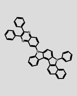 c1ccc(-c2nc3ccc(-n4c5ccccc5c5c6c7ccc8ccccc8c7n(-c7ccccc7)c6ccc54)cc3nc2-c2ccccc2)cc1